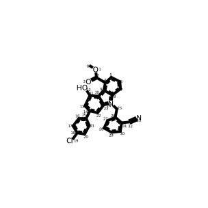 COC(=O)c1cccc2c1c1c(O)cc(-c3ccc(Cl)cc3)cc1n2Cc1ccccc1C#N